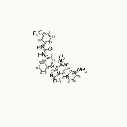 Cc1nc(-c2ccc(NC(=O)Nc3cccc(C(F)(F)F)c3)c3ccccc23)c2c(N)ncc(CN3CCC[C@H](N)C3)n12